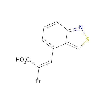 CCC(=Cc1cccc2nscc12)C(=O)O